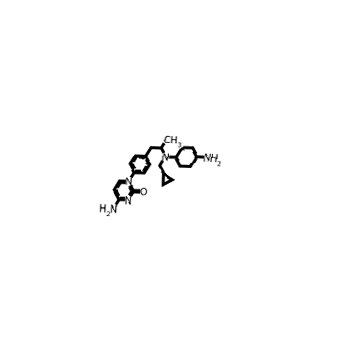 CC(Cc1ccc(-n2ccc(N)nc2=O)cc1)N(CC1CC1)C1CCC(N)CC1